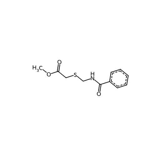 COC(=O)CSCNC(=O)c1ccccc1